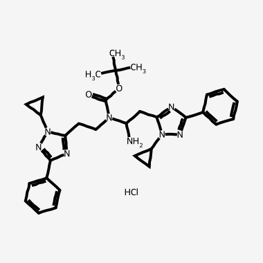 CC(C)(C)OC(=O)N(CCc1nc(-c2ccccc2)nn1C1CC1)C(N)Cc1nc(-c2ccccc2)nn1C1CC1.Cl